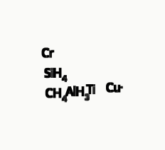 C.[AlH3].[Cr].[Cu].[SiH4].[Ti]